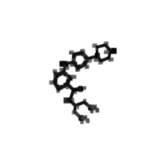 CCC(CC)NC(=O)c1ccnc(Nc2ccc(N3CCNCC3)cc2)n1